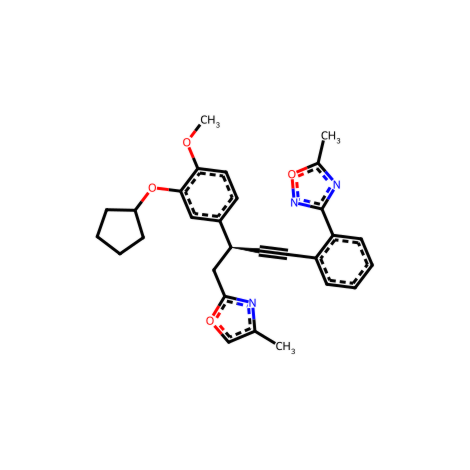 COc1ccc([C@@H](C#Cc2ccccc2-c2noc(C)n2)Cc2nc(C)co2)cc1OC1CCCC1